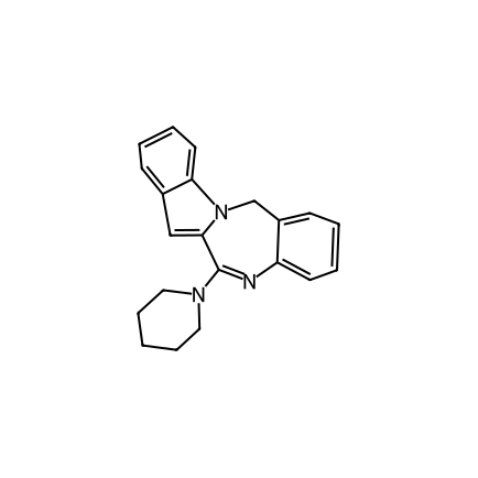 c1ccc2c(c1)Cn1c(cc3ccccc31)C(N1CCCCC1)=N2